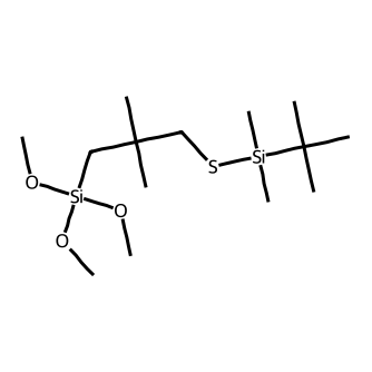 CO[Si](CC(C)(C)CS[Si](C)(C)C(C)(C)C)(OC)OC